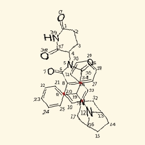 O=C1CCC(N2C(=O)c3ccc(N4C5CCC4CN(C(c4ccccc4)c4ccccc4)C5)cc3C2=O)C(=O)N1